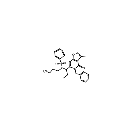 CCC(c1nc2onc(C)c2c(=O)n1Cc1ccccc1)N(CCCN)S(=O)(=O)c1ccccc1